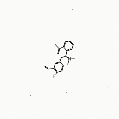 C=Cc1cc(CC(c2ccccc2C(=C)C)N(C)C)ccc1F